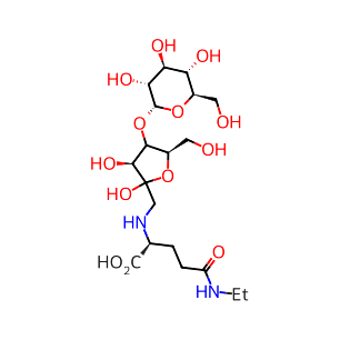 CCNC(=O)CC[C@H](NCC1(O)O[C@H](CO)C(O[C@H]2O[C@H](CO)[C@@H](O)[C@H](O)[C@H]2O)[C@@H]1O)C(=O)O